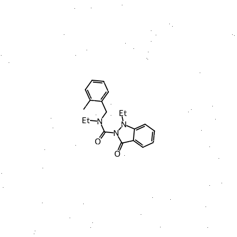 CCN(Cc1ccccc1C)C(=O)n1c(=O)c2ccccc2n1CC